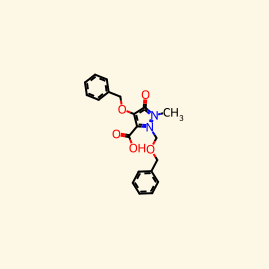 Cn1c(=O)c(OCc2ccccc2)c(C(=O)O)n1COCc1ccccc1